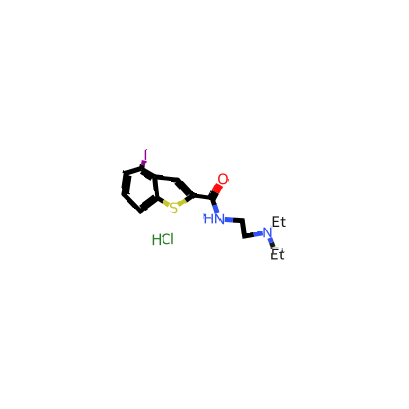 CCN(CC)CCNC(=O)c1cc2c(I)cccc2s1.Cl